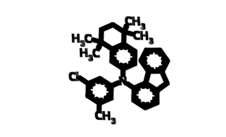 Cc1cc(Cl)cc(N(c2ccc3c(c2)C(C)(C)CCC3(C)C)c2cccc3c2-c2ccccc2C3)c1